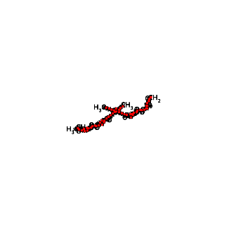 C=CC(=O)OCC1CC2C3CC(CC3COC(=O)/C=C/C(=O)OCC3CC4C5CC(COC(=O)CCCCCCC6C(CCCCCC)CCC(CCCCCCCC)C6CCCCCCC(=O)OCC6CC7CC6C6CC(COC(=O)/C=C/C(=O)OCC8CC9CC8C8CC(COC(=O)C(=C)C)CC98)CC76)C(C5)C4C3)[C@H]2C1